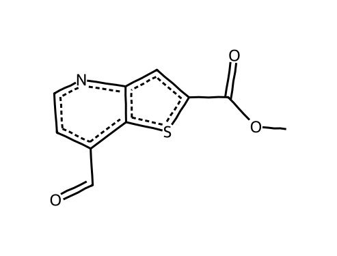 COC(=O)c1cc2nccc(C=O)c2s1